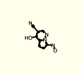 N#Cc1cnn2c(N=O)ccc2c1O